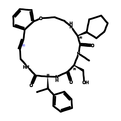 CC(c1ccccc1)[C@H]1NC(=O)[C@H](CO)N(C)C(=O)[C@H](C2CCCCC2)NCCOc2ccccc2/C=C/CNC1=O